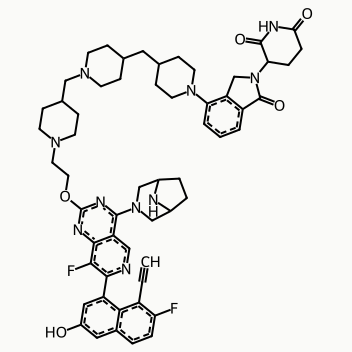 C#Cc1c(F)ccc2cc(O)cc(-c3ncc4c(N5CC6CCC(C5)N6)nc(OCCN5CCC(CN6CCC(CC7CCN(c8cccc9c8CN(C8CCC(=O)NC8=O)C9=O)CC7)CC6)CC5)nc4c3F)c12